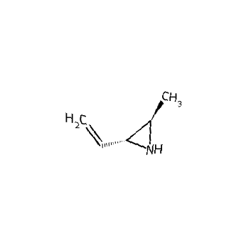 C=C[C@H]1N[C@@H]1C